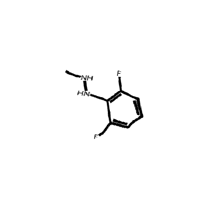 CNNc1c(F)cccc1F